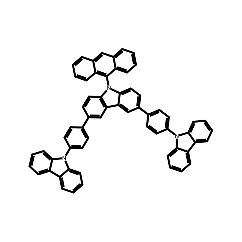 c1ccc2c(-n3c4ccc(-c5ccc(-n6c7ccccc7c7ccccc76)cc5)cc4c4cc(-c5ccc(-n6c7ccccc7c7ccccc76)cc5)ccc43)c3ccccc3cc2c1